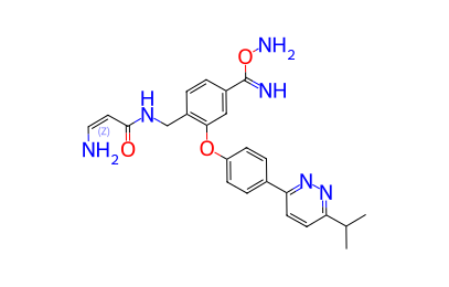 CC(C)c1ccc(-c2ccc(Oc3cc(C(=N)ON)ccc3CNC(=O)/C=C\N)cc2)nn1